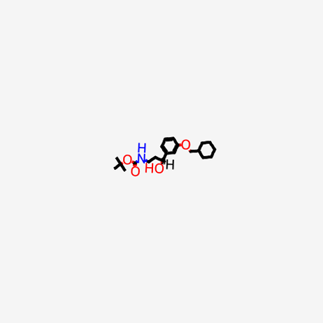 [2H]C(O)(CCNC(=O)OC(C)(C)C)c1cccc(OCC2CCCCC2)c1